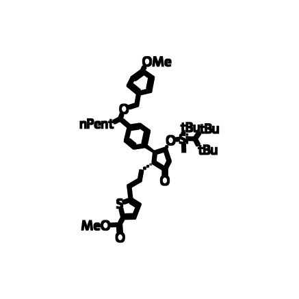 CCCCCC(OCc1ccc(OC)cc1)c1ccc([C@H]2[C@H](O[Si](C)(C(C(C)(C)C)C(C)(C)C)C(C)(C)C)CC(=O)[C@@H]2CCCc2ccc(C(=O)OC)s2)cc1